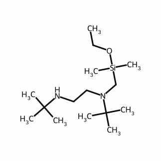 CCO[Si](C)(C)CN(CCNC(C)(C)C)C(C)(C)C